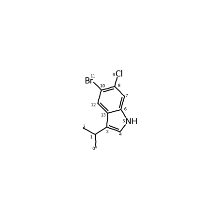 CC(C)c1c[nH]c2cc(Cl)c(Br)cc12